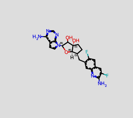 Nc1nc2cc(C[C@@H]3CC[C@]4(O)C(O)[C@H](n5ccc6c(N)ncnc65)O[C@H]34)c(F)cc2cc1F